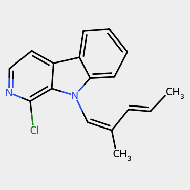 C/C=C/C(C)=C\n1c2ccccc2c2ccnc(Cl)c21